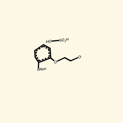 CCCCCCCCCc1ccccc1OCC[O].O=S(=O)(O)O